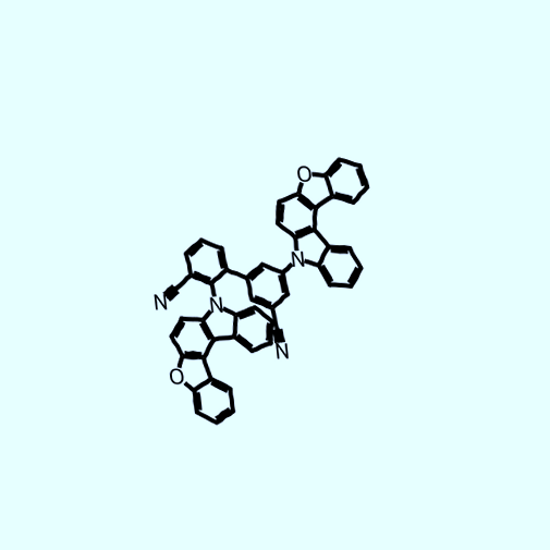 N#Cc1cc(-c2cccc(C#N)c2-n2c3ccccc3c3c4c(ccc32)oc2ccccc24)cc(-n2c3ccccc3c3c4c(ccc32)oc2ccccc24)c1